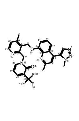 Cc1cc(-c2cnnn2C)c2cccc(OCc3c(C)ccnc3Cn3cccc(C(F)(F)F)c3=O)c2n1